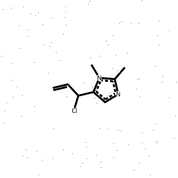 C=CC(Cl)c1cnc(C)n1C